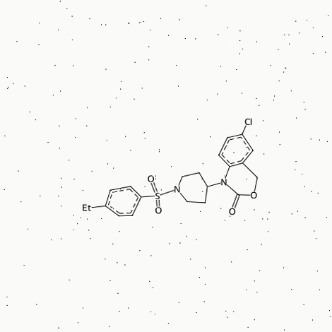 CCc1ccc(S(=O)(=O)N2CCC(N3C(=O)OCc4cc(Cl)ccc43)CC2)cc1